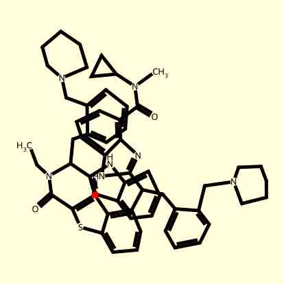 CCN(C(=O)c1sc2cccc(C(Cc3ccccc3CN3CCCCC3)c3nc4c(C(=O)N(C)C5CC5)cccc4[nH]3)c2c1Cl)C(Cc1ccccc1CN1CCCCC1)c1nc2ccccc2[nH]1